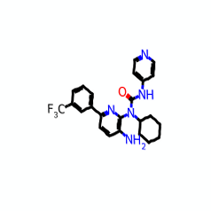 Nc1ccc(-c2cccc(C(F)(F)F)c2)nc1N(C(=O)Nc1ccncc1)C1CCCCC1